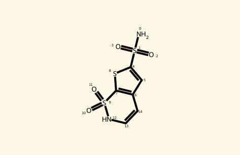 NS(=O)(=O)c1cc2c(s1)S(=O)(=O)NC=C2